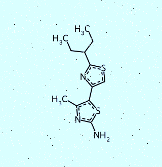 CCC(CC)c1nc(-c2sc(N)nc2C)cs1